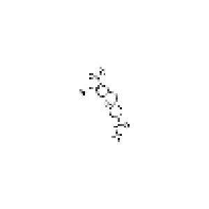 COC(=O)c1cc2c(cc1CBr)OC1(C=C2)CCN(C(=O)OC(C)(C)C)CC1